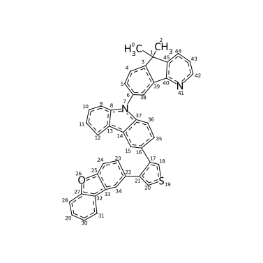 CC1(C)c2ccc(-n3c4ccccc4c4cc(-c5cscc5-c5ccc6oc7ccccc7c6c5)ccc43)cc2-c2ncccc21